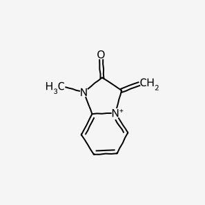 C=C1C(=O)N(C)c2cccc[n+]21